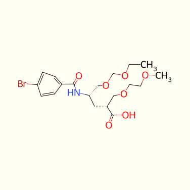 CCOCOC[C@H](C[C@H](COCCOC)C(=O)O)NC(=O)c1ccc(Br)cc1